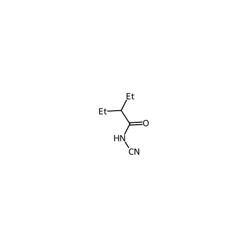 CCC(CC)C(=O)NC#N